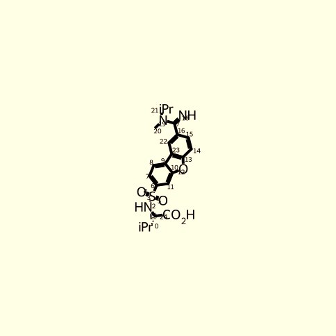 CC(C)[C@H](NS(=O)(=O)c1ccc2c(c1)oc1ccc(C(=N)N(C)C(C)C)cc12)C(=O)O